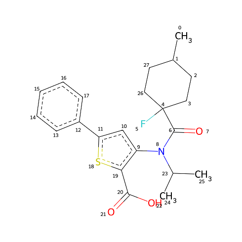 CC1CCC(F)(C(=O)N(c2cc(-c3ccccc3)sc2C(=O)O)C(C)C)CC1